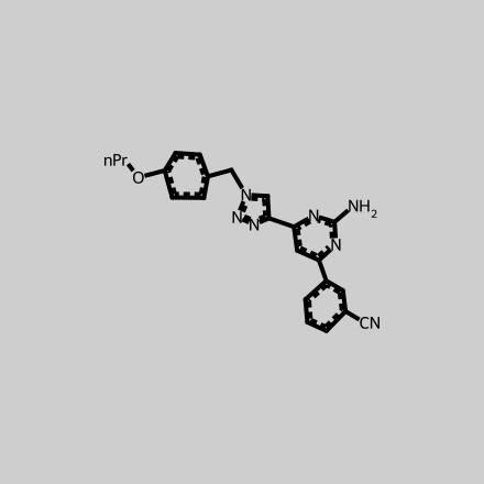 CCCOc1ccc(Cn2cc(-c3cc(-c4cccc(C#N)c4)nc(N)n3)nn2)cc1